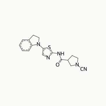 N#CN1CCC(C(=O)Nc2ncc(N3CCc4ccccc43)s2)C1